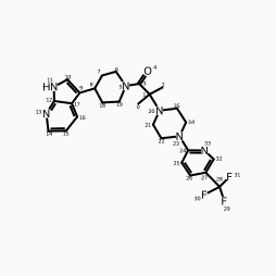 CC(C)(C(=O)N1CCC(c2c[nH]c3ncccc23)CC1)N1CCN(c2ccc(C(F)(F)F)cn2)CC1